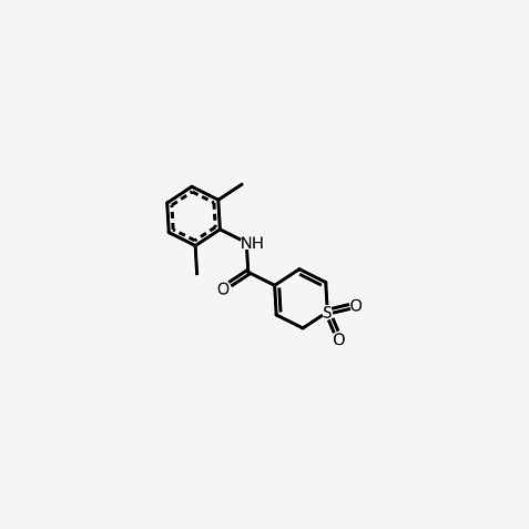 Cc1cccc(C)c1NC(=O)C1=CCS(=O)(=O)C=C1